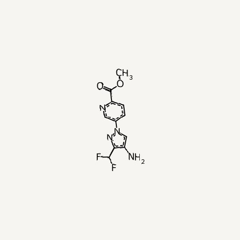 COC(=O)c1ccc(-n2cc(N)c(C(F)F)n2)cn1